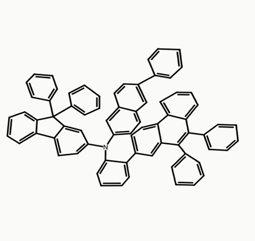 c1ccc(-c2ccc3cc(N(c4ccc5c(c4)C(c4ccccc4)(c4ccccc4)c4ccccc4-5)c4ccccc4-c4ccc5c(c4)c(-c4ccccc4)c(-c4ccccc4)c4ccccc45)ccc3c2)cc1